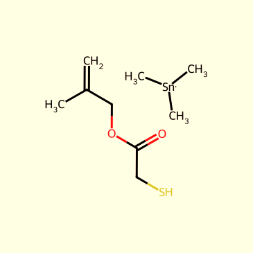 C=C(C)COC(=O)CS.[CH3][Sn]([CH3])[CH3]